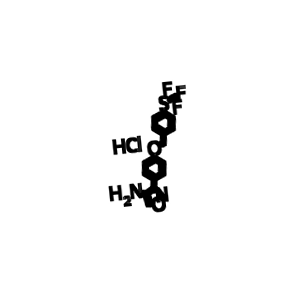 Cl.Nc1conc1-c1ccc(OCc2ccc(SC(F)(F)F)cc2)cc1